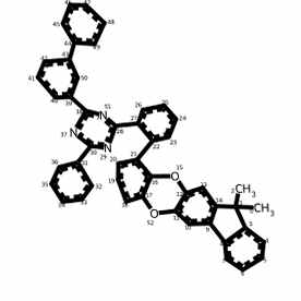 CC1(C)c2ccccc2-c2cc3c(cc21)Oc1c(cccc1-c1ccccc1-c1nc(-c2ccccc2)nc(-c2cccc(-c4ccccc4)c2)n1)O3